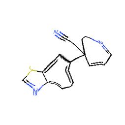 N#CC1(c2ccc3ncsc3c2)C=CC=NC1